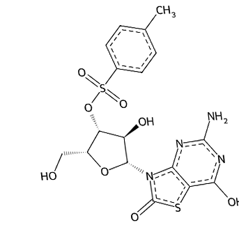 Cc1ccc(S(=O)(=O)O[C@@H]2[C@@H](O)[C@H](n3c(=O)sc4c(O)nc(N)nc43)O[C@@H]2CO)cc1